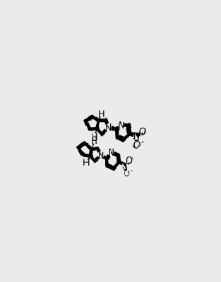 O=[N+]([O-])c1ccc(N2C[C@H]3CCC[C@H]3C2)nc1.O=[N+]([O-])c1ccc(N2C[C@H]3CCC[C@H]3C2)nc1